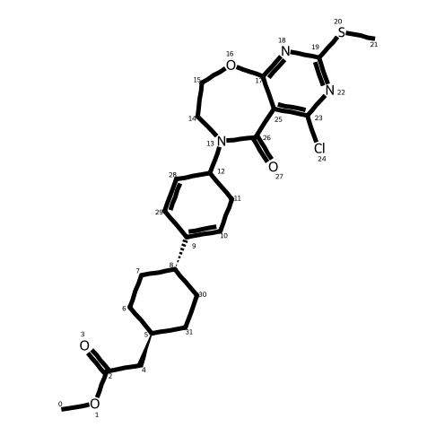 COC(=O)C[C@H]1CC[C@H](C2=CCC(N3CCOc4nc(SC)nc(Cl)c4C3=O)C=C2)CC1